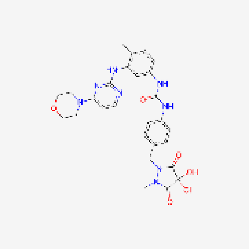 Cc1ccc(NC(=O)Nc2ccc(CN3C(=O)C(O)(O)C(=O)N3C)cc2)cc1Nc1nccc(N2CCOCC2)n1